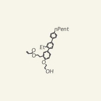 C=CC(=O)OCCc1cc(-c2ccc(-c3ccc(CCCCC)cc3)cc2CC)ccc1OCCO